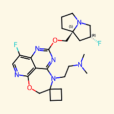 CN(C)CCN1c2nc(OC[C@@]34CCCN3C[C@H](F)C4)nc3c(F)cnc(c23)OCC12CCC2